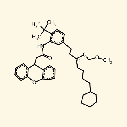 COCO[C@@H](CCCCC1CCCCC1)CCc1ccc(C(C)(C)C)c(NC(=O)CC2c3ccccc3Oc3ccccc32)c1